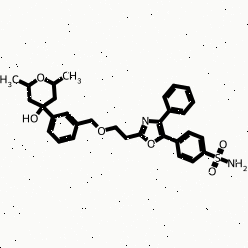 CC1CC(O)(c2cccc(COCCc3nc(-c4ccccc4)c(-c4ccc(S(N)(=O)=O)cc4)o3)c2)CC(C)O1